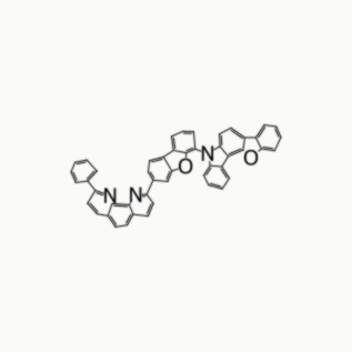 c1ccc(-c2ccc3ccc4ccc(-c5ccc6c(c5)oc5c(-n7c8ccccc8c8c9oc%10ccccc%10c9ccc87)cccc56)nc4c3n2)cc1